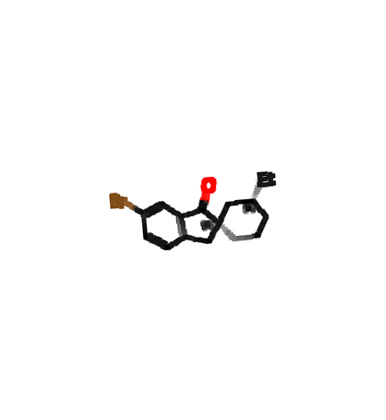 CC[C@@H]1CCC[C@@]2(Cc3ccc(Br)cc3C2=O)C1